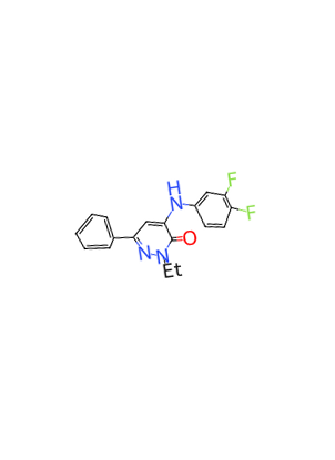 CCn1nc(-c2ccccc2)cc(Nc2ccc(F)c(F)c2)c1=O